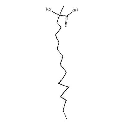 CCCCCCCCCCCCCCC(C)(O)C(=O)O